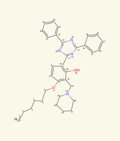 CCCCCCOc1ccc(-c2nc(-c3ccccc3)nc(-c3ccccc3)n2)c(O)c1CN1CCCCC1